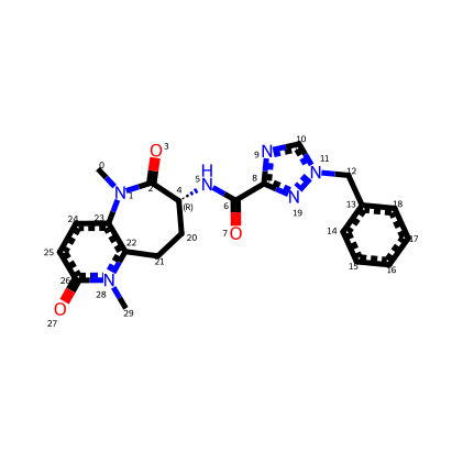 CN1C(=O)[C@H](NC(=O)c2ncn(Cc3ccccc3)n2)CCc2c1ccc(=O)n2C